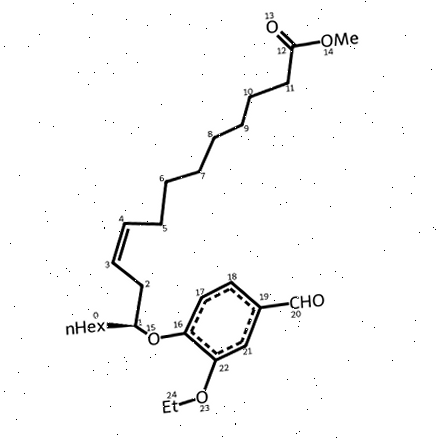 CCCCCC[C@@H](C/C=C\CCCCCCCC(=O)OC)Oc1ccc(C=O)cc1OCC